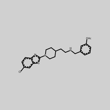 CC(=O)Oc1cccc(CNCCC2CCN(c3nc4ccc(Cl)cc4s3)CC2)c1